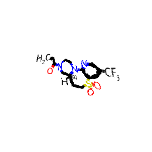 C=CC(=O)N1CCN2c3ncc(C(F)(F)F)cc3S(=O)(=O)CC[C@@H]2C1